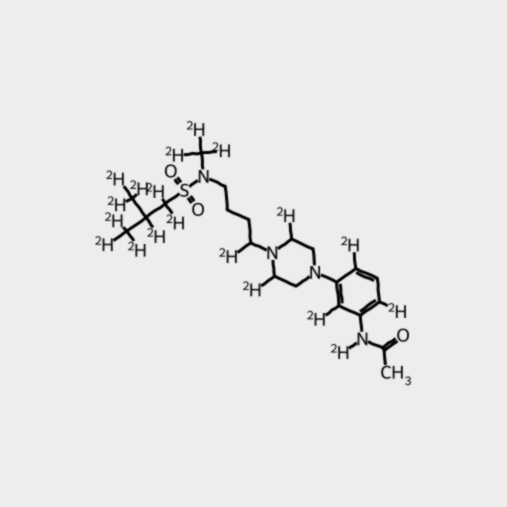 [2H]c1cc([2H])c(N([2H])C(C)=O)c([2H])c1N1CC([2H])N(C([2H])CCCN(C([2H])([2H])[2H])S(=O)(=O)C([2H])([2H])C([2H])(C([2H])([2H])[2H])C([2H])([2H])[2H])C([2H])C1